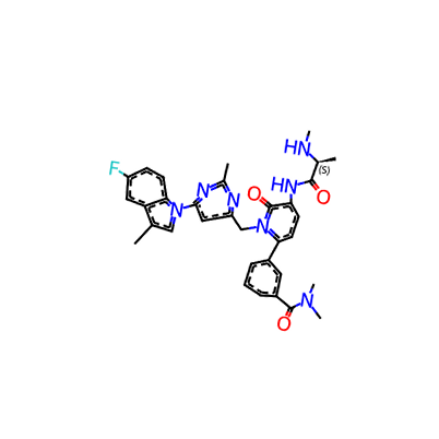 CN[C@@H](C)C(=O)Nc1ccc(-c2cccc(C(=O)N(C)C)c2)n(Cc2cc(-n3cc(C)c4cc(F)ccc43)nc(C)n2)c1=O